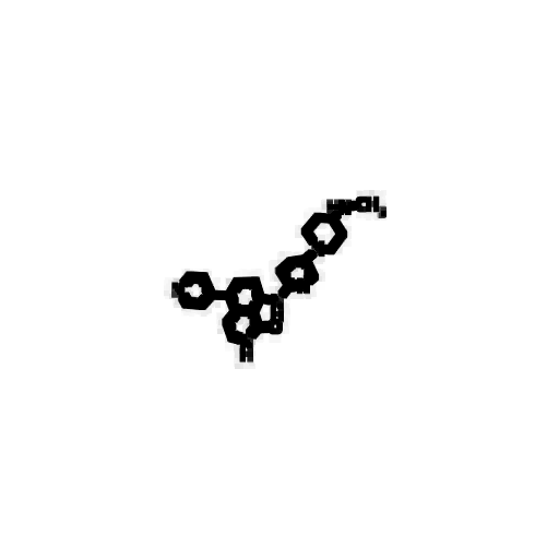 CNC1CCN(c2ccc(Nc3ccc(-c4ccncc4)c4cc[nH]c(=O)c34)nc2)CC1